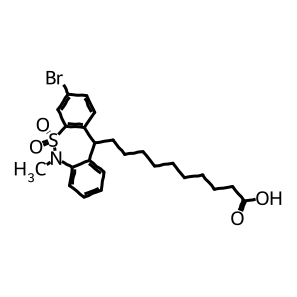 CN1c2ccccc2C(CCCCCCCCCC(=O)O)c2ccc(Br)cc2S1(=O)=O